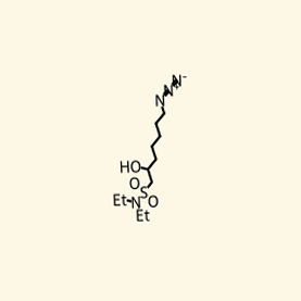 CCN(CC)S(=O)(=O)CC(O)CCCCCN=[N+]=[N-]